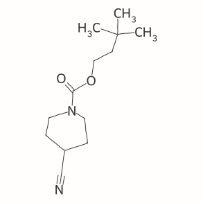 CC(C)(C)CCOC(=O)N1CCC(C#N)CC1